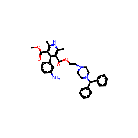 COC(=O)C1=C(C)NC(C)=C(C(=O)OCCN2CCN(C(c3ccccc3)c3ccccc3)CC2)C1c1cccc(N)c1